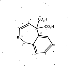 O=C(O)C1(C(=O)O)C=CNOc2ccccc21